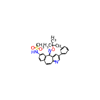 CC(C)(C)O/N=c1/c2cc(NS(C)(=O)=O)ccc2ccc2ncc(-c3ccccc3)cc12